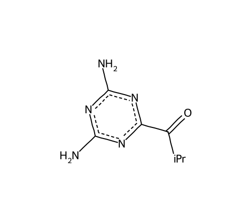 CC(C)C(=O)c1nc(N)nc(N)n1